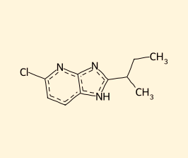 CCC(C)c1nc2nc(Cl)ccc2[nH]1